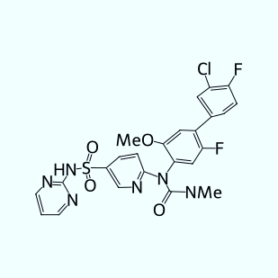 CNC(=O)N(c1ccc(S(=O)(=O)Nc2ncccn2)cn1)c1cc(F)c(-c2ccc(F)c(Cl)c2)cc1OC